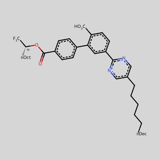 CCCCCCCCCCCCCCCc1cnc(-c2ccc(C(=O)O)c(-c3ccc(C(=O)O[C@H](CCCCCCCC)C(F)(F)F)cc3)c2)nc1